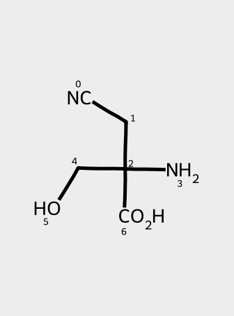 N#CCC(N)(CO)C(=O)O